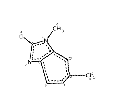 Cn1c(Cl)nc2ccc(C(F)(F)F)cc21